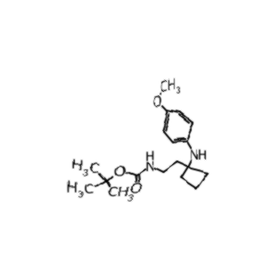 COc1ccc(NC2(CCNC(=O)OC(C)(C)C)CCC2)cc1